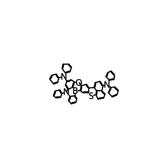 c1ccc(N(c2ccccc2)c2cc3c4c(c2)N(c2ccccc2)c2ccccc2B4c2cc4c(cc2O3)-c2ccc(N(c3ccccc3)c3ccccc3)c3cccc(c23)S4)cc1